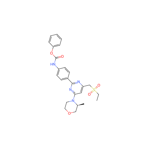 CCS(=O)(=O)Cc1cc(N2CCOC[C@@H]2C)nc(-c2ccc(NC(=O)Oc3ccccc3)cc2)n1